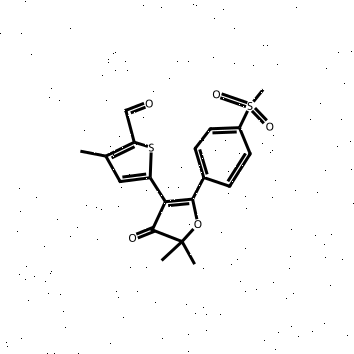 Cc1cc(C2=C(c3ccc(S(C)(=O)=O)cc3)OC(C)(C)C2=O)sc1C=O